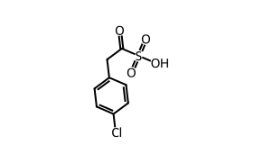 O=C(Cc1ccc(Cl)cc1)S(=O)(=O)O